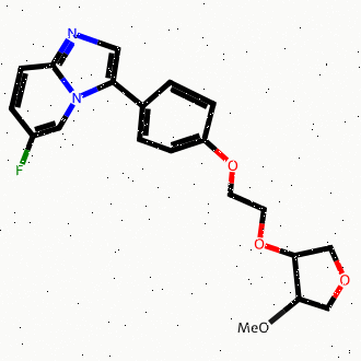 COC1COCC1OCCOc1ccc(-c2cnc3ccc(F)cn23)cc1